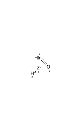 [Hf].[O]=[InH].[Zr]